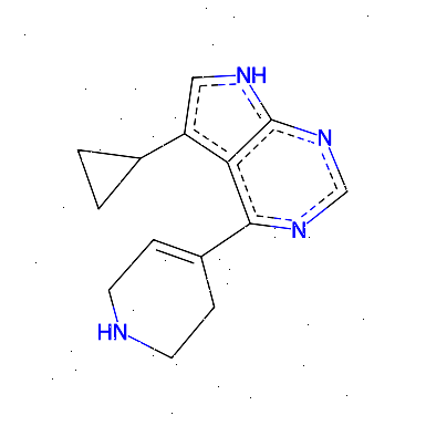 C1=C(c2ncnc3[nH]cc(C4CC4)c23)CCNC1